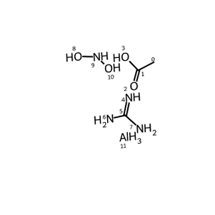 CC(=O)O.N=C(N)N.ONO.[AlH3]